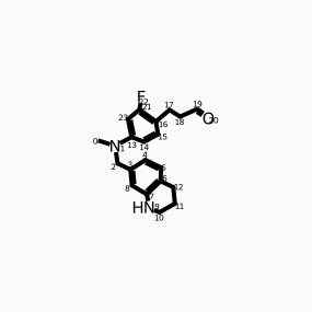 CN(Cc1ccc2c(c1)NCCC2)c1ccc(CCC=O)c(F)c1